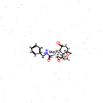 CO[C@@H]1C(=O)CC[C@]2(CO2)[C@H]1[C@@]1(C)O[C@@H]1CC(=O)NCc1ccccc1